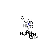 CN(C)CC(=O)N(C)c1ccc(N/C(=C2/C(=O)Nc3cc(-c4ccccc4)ccc32)c2ccccc2)cc1